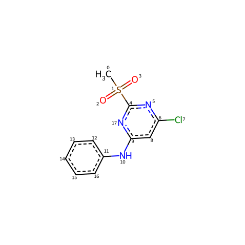 CS(=O)(=O)c1nc(Cl)cc(Nc2ccccc2)n1